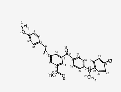 COc1ccc(COc2cc(C(=O)O)cc(C(=O)c3ccc(N(C)c4ccc(Cl)cc4)cn3)c2)cc1